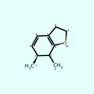 CC1C2=C(C=C[C@@H]1C)CCS2